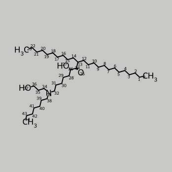 CCCCCCCCCCCCCC(CCCCCCCCCC)C(=O)C(O)CCCCCN(CCCO)CCCCCCC